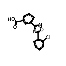 O=C(O)c1cccc(-c2noc(-c3ccccc3Cl)n2)c1